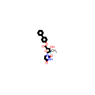 C[C@@]1(F)[C@H](O)[C@H]([C@@H]([O])Oc2ccc(-c3ccccc3)cc2)O[C@H]1n1ccc(=O)[nH]c1=O